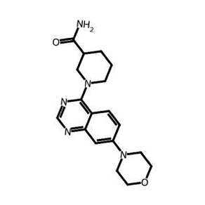 NC(=O)C1CCCN(c2ncnc3cc(N4CCOCC4)ccc23)C1